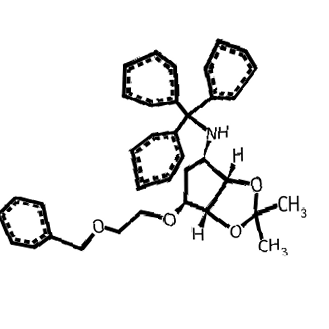 CC1(C)O[C@@H]2[C@H](O1)[C@@H](OCCOCc1ccccc1)C[C@H]2NC(c1ccccc1)(c1ccccc1)c1ccccc1